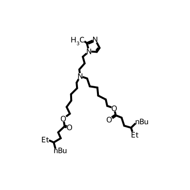 CCCCC(CC)CCC(=O)OCCCCCCN(CCCCCCOC(=O)CCC(CC)CCCC)CCCn1ccnc1C